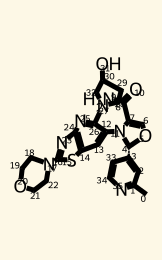 Cc1cc([C@H]2OC=C(C(N)=O)N2c2cc3sc(N4CCOCC4)nc3nc2N2CCC(O)C2)ccn1